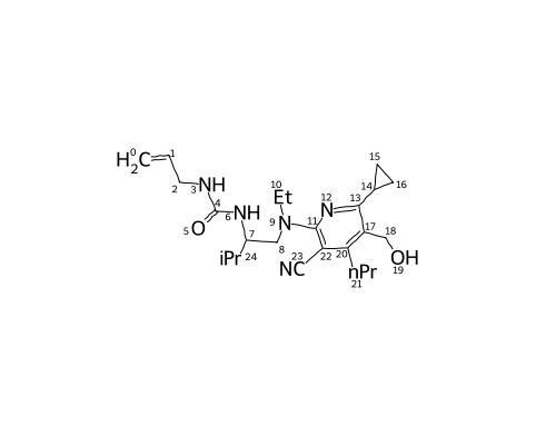 C=CCNC(=O)NC(CN(CC)c1nc(C2CC2)c(CO)c(CCC)c1C#N)C(C)C